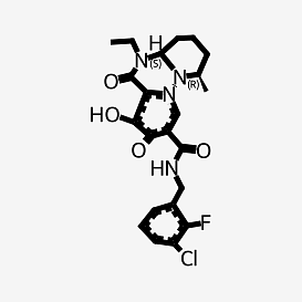 CCN1C(=O)c2c(O)c(=O)c(C(=O)NCc3cccc(Cl)c3F)cn2N2[C@H](C)CCC[C@@H]12